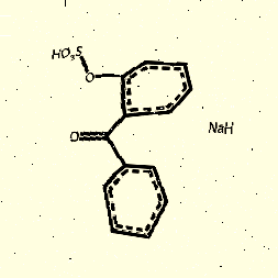 O=C(c1ccccc1)c1ccccc1OS(=O)(=O)O.[NaH]